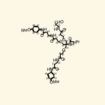 CCCC(=O)NC(COCCC(=O)NCCC=O)(COCCC(=O)NCCC(=O)Nc1ccc(OC)cc1)COCCC(=O)NCCC(=O)Nc1ccc(OC)cc1